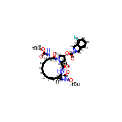 CC(C)(C)ONC(=O)[C@@]12C[C@H]1/C=C\CCCCC[C@H](NC(=O)OC(C)(C)C)C(=O)N1C[C@H](OC(=O)N3Cc4cccc(F)c4C3)C[C@H]1C(=O)N2